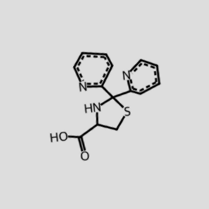 O=C(O)C1CSC(c2ccccn2)(c2ccccn2)N1